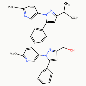 COc1ccc(-n2nc(C(C)S(=O)(=O)O)cc2-c2ccccc2)cn1.COc1ccc(-n2nc(CO)cc2-c2ccccc2)cn1